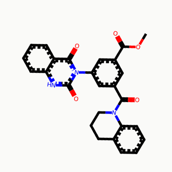 COC(=O)c1cc(C(=O)N2CCCc3ccccc32)cc(-n2c(=O)[nH]c3ccccc3c2=O)c1